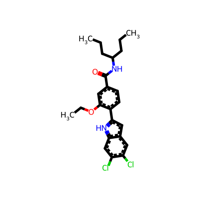 CCCC(CCC)NC(=O)c1ccc(-c2cc3cc(Cl)c(Cl)cc3[nH]2)c(OCC)c1